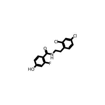 O=C(NCCc1ccc(Cl)cc1Cl)c1ccc(O)cc1F